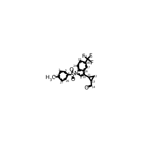 Cc1ccc(S(=O)(=O)n2cc(C3CC3C=O)c3cc(C(F)(F)F)ccc32)cc1